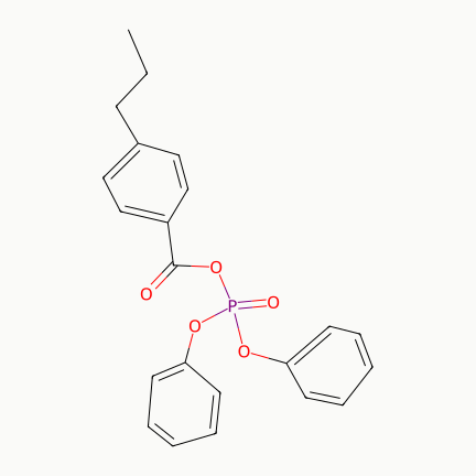 CCCc1ccc(C(=O)OP(=O)(Oc2ccccc2)Oc2ccccc2)cc1